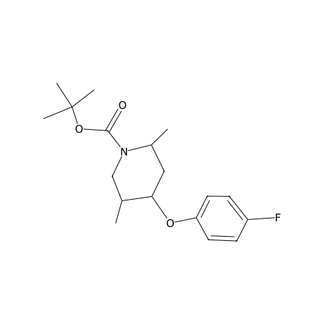 CC1CN(C(=O)OC(C)(C)C)C(C)CC1Oc1ccc(F)cc1